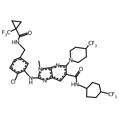 Cn1c(Nc2cc(CNC(=O)C3(C(F)(F)F)CC3)ccc2Cl)nc2cc(C(=O)NC3CCC(C(F)(F)F)CC3)c(N3CCC(C(F)(F)F)CC3)nc21